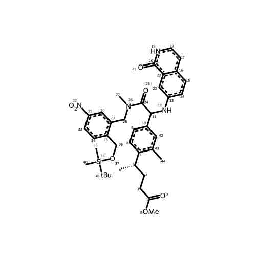 COC(=O)CC[C@H](C)c1ccc(C(Nc2ccc3cc[nH]c(=O)c3c2)C(=O)N(C)Cc2cc([N+](=O)[O-])ccc2CO[Si](C)(C)C(C)(C)C)cc1C